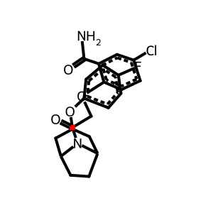 NC(=O)c1cc(Cl)ccc1OCC(=O)N1C2CCC1CC(Oc1ccc(F)cc1)C2